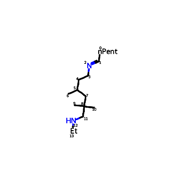 CCCCCC=NCCC(C)CC(C)(C)CNCC